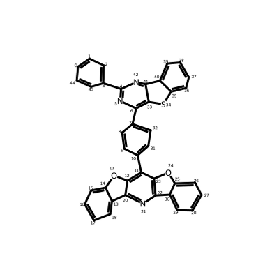 c1ccc(-c2nc(-c3ccc(-c4c5oc6ccccc6c5nc5c4oc4ccccc45)cc3)c3sc4ccccc4c3n2)cc1